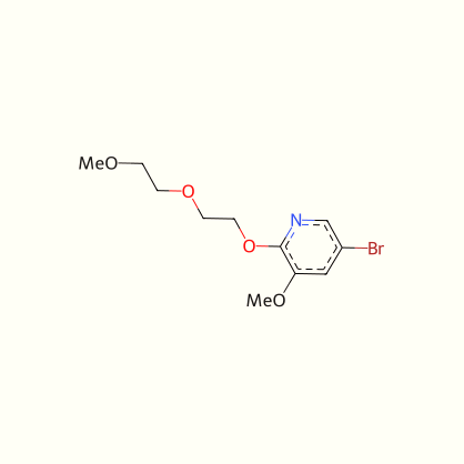 COCCOCCOc1ncc(Br)cc1OC